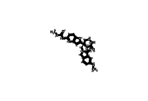 COC(=O)Nc1ccc2oc([C@@]3(CN4Cc5ccc(OC)cc5C4=O)CONC(=O)N3)cc2n1